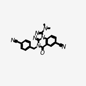 CN(C)c1nnc2n(Cc3ccc(C#N)cc3)c(=O)c3cc(C#N)ccc3n12